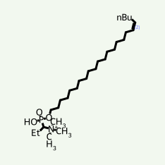 CCCC/C=C\CCCCCCCCCCCCCCCCCOP(=O)(O)C(CC)[N+](C)(C)C